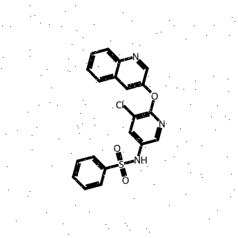 O=S(=O)(Nc1cnc(Oc2cnc3ccccc3c2)c(Cl)c1)c1ccccc1